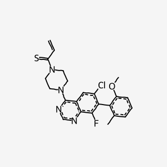 C=CC(=S)N1CCN(c2ncnc3c(F)c(-c4c(C)cccc4OC)c(Cl)cc23)CC1